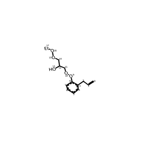 C=CCc1ccccc1OOCC(O)COOCC